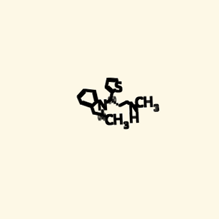 CNCC[C@@H](c1cccs1)N1c2ccccc2C[C@@H]1C